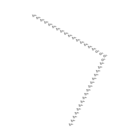 [O-2].[O-2].[O-2].[O-2].[Ti+4].[Ti+4].[Ti+4].[Ti+4].[Ti+4].[Ti+4].[Ti+4].[Ti+4].[Ti+4].[Ti+4].[Ti+4].[Ti+4].[Ti+4].[Ti+4].[Ti+4].[Ti+4].[Ti+4].[Ti+4].[Ti+4].[Ti+4].[Ti+4].[Ti+4].[Ti+4].[Ti+4].[Ti+4].[Ti+4].[Ti+4].[Ti+4].[Ti+4].[Ti+4].[Ti+4].[Ti+4].[Ti+4]